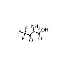 NC(C(=O)O)C(=O)C(F)(F)F